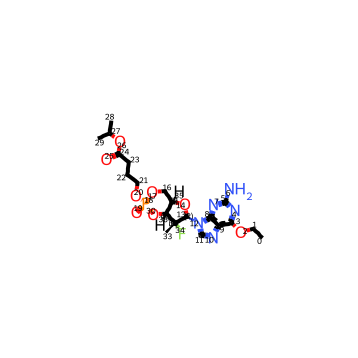 CCOc1nc(N)nc2c1ncn2[C@@H]1O[C@@H]2COP(=O)(OCCCC(=O)OC(C)C)O[C@H]2[C@@]1(C)F